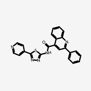 O=C(Nc1nnc(-c2ccncc2)s1)c1cc(-c2ccccc2)nc2ccccc12